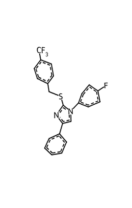 Fc1ccc(-n2cc(-c3ccccc3)nc2SCc2ccc(C(F)(F)F)cc2)cc1